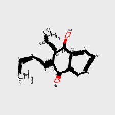 C\C=C/C=C1/C(=O)c2ccccc2C(=O)/C1=C\C